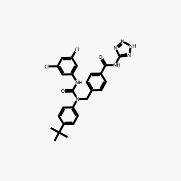 CC(C)(C)c1ccc(N(Cc2ccc(C(=O)Nc3nn[nH]n3)cc2)C(=O)Nc2cc(Cl)cc(Cl)c2)cc1